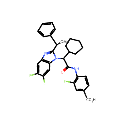 CO[C@H](c1ccccc1)c1nc2cc(F)c(F)cc2n1C(C(=O)Nc1ccc(C(=O)O)cc1F)C1CCCCC1